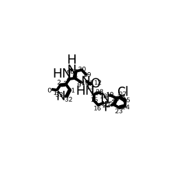 Cc1cc(C2NNC3=C2CN(C(=O)NC2CCCN(Cc4c(F)cccc4Cl)C2)CC3)ccn1